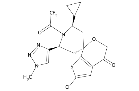 Cn1cc([C@@H]2C[C@]3(C[C@H](C4CC4)N2C(=O)C(F)(F)F)OCC(=O)c2cc(Cl)sc23)nn1